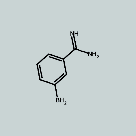 Bc1cccc(C(=N)N)c1